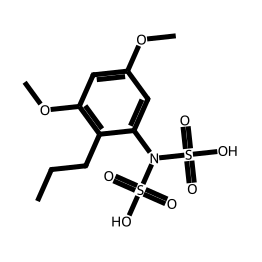 CCCc1c(OC)cc(OC)cc1N(S(=O)(=O)O)S(=O)(=O)O